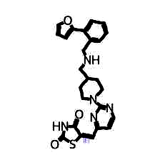 O=C1NC(=O)/C(=C\c2ccnc(N3CCC(CNCc4ccccc4-c4ccco4)CC3)n2)S1